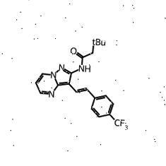 CC(C)(C)CC(=O)Nc1nn2cccnc2c1/C=C/c1ccc(C(F)(F)F)cc1